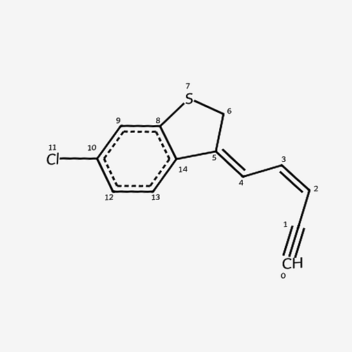 C#C/C=C\C=C1/CSc2cc(Cl)ccc21